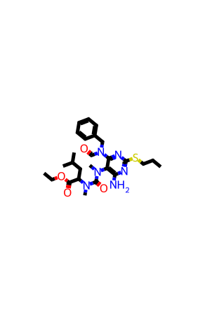 CCCSc1nc(N)c(N(C)C(=O)N(C)C(CC(C)C)C(=O)OCC)c(N(C=O)Cc2ccccc2)n1